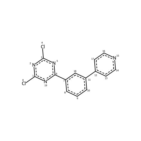 Clc1nc(Cl)nc(-c2cccc(-c3ccncc3)c2)n1